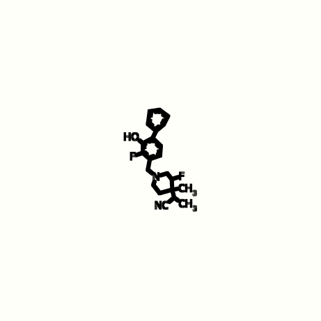 CC(C#N)C1(C)CCN(Cc2ccc(-c3ccccc3)c(O)c2F)CC1F